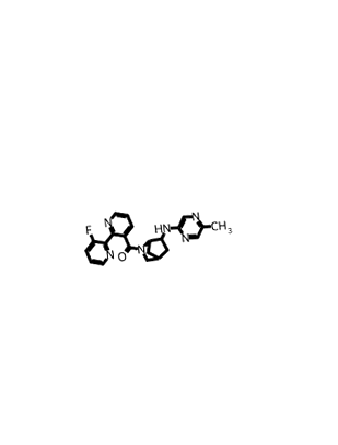 Cc1cnc(NC2CC3CC2N(C(=O)c2cccnc2-c2ncccc2F)C3)cn1